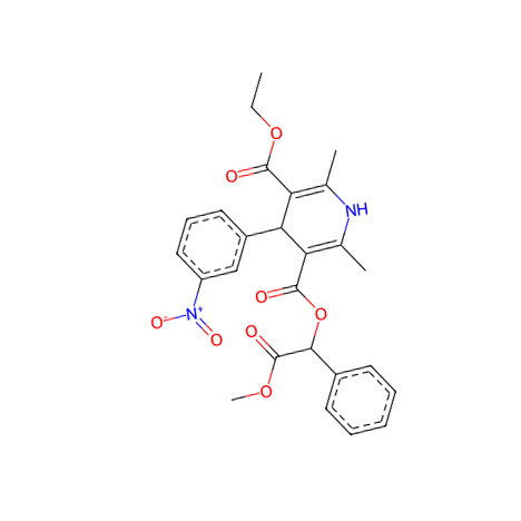 CCOC(=O)C1=C(C)NC(C)=C(C(=O)OC(C(=O)OC)c2ccccc2)C1c1cccc([N+](=O)[O-])c1